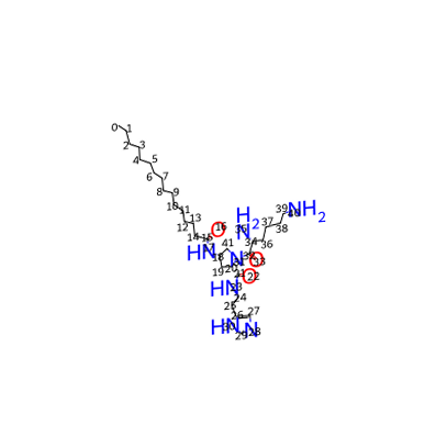 CCCCCCCCCCCCCCCC(=O)N[C@H]1C[C@@H](C(=O)NCCc2cnc[nH]2)N(C(=O)[C@H](N)CCCCN)C1